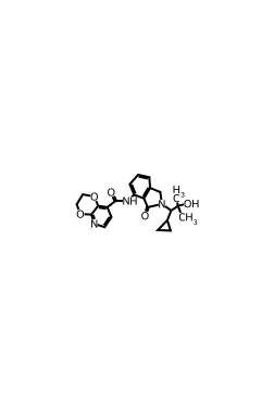 CC(C)(O)C(C1CC1)N1Cc2cccc(NC(=O)c3ccnc4c3OCCO4)c2C1=O